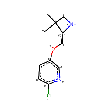 CC1(C)CN[C@H]1COc1ccc(Cl)nc1